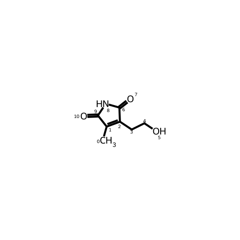 CC1=C(CCO)C(=O)NC1=O